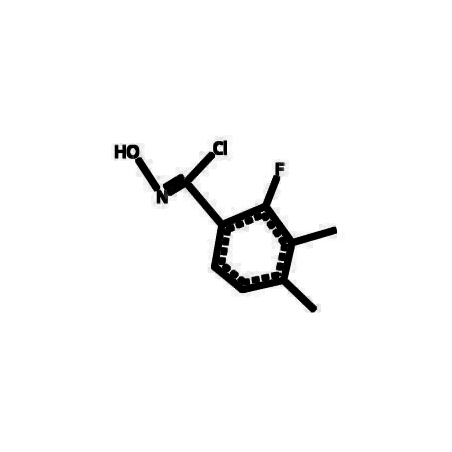 Cc1ccc(/C(Cl)=N/O)c(F)c1C